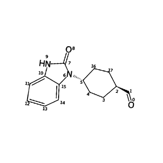 O=C[C@H]1CC[C@H](n2c(=O)[nH]c3ccccc32)CC1